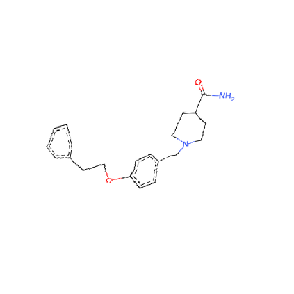 NC(=O)C1CCN(Cc2ccc(OCCc3ccccc3)cc2)CC1